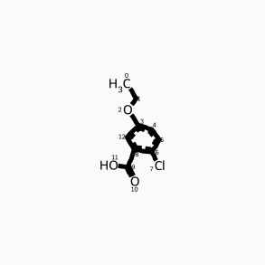 CCOc1ccc(Cl)c(C(=O)O)c1